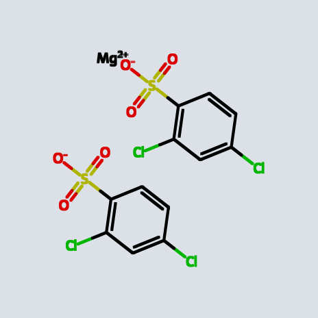 O=S(=O)([O-])c1ccc(Cl)cc1Cl.O=S(=O)([O-])c1ccc(Cl)cc1Cl.[Mg+2]